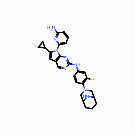 Nc1cccc(-n2c(C3CC3)cc3cnc(Nc4ccc(N5CC6CCCC(C5)N6)c(F)c4)nc32)n1